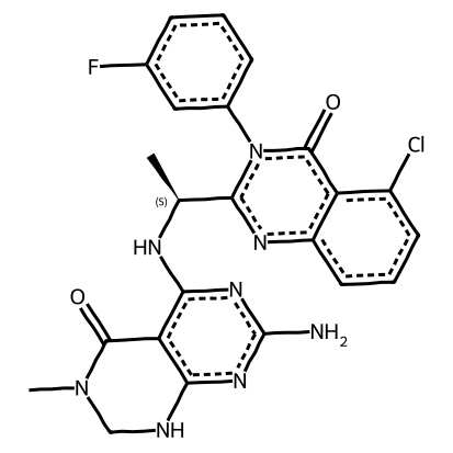 C[C@H](Nc1nc(N)nc2c1C(=O)N(C)CN2)c1nc2cccc(Cl)c2c(=O)n1-c1cccc(F)c1